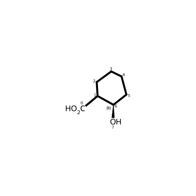 O=C(O)C1CCCC[C@H]1O